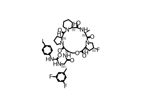 C[C@@H]1NC(=O)[C@@H]2CCCCN2C(=O)[C@@H]2CCCN2C(=O)[C@@H](NC(=O)[C@H](Cc2cc(F)cc(F)c2)NC(=O)Nc2ccc(I)cc2)COC(=O)[C@@H]2C[C@H](F)CN2C1=O